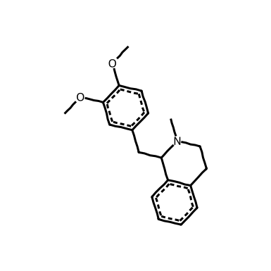 COc1ccc(CC2c3ccccc3CCN2C)cc1OC